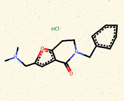 CN(C)Cc1cc2c(o1)CCN(Cc1ccccc1)C2=O.Cl